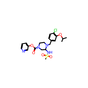 CC(C)Oc1cc(CN2CCN(C(=O)Oc3cccnc3)CC2NS(C)(=O)=O)ccc1Cl